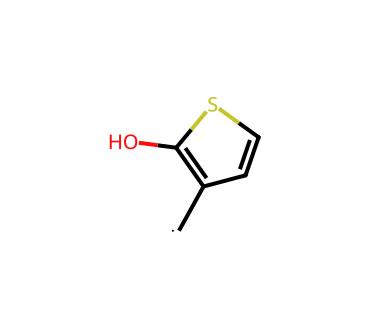 [CH2]c1ccsc1O